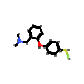 CN(C)Cc1ccccc1Oc1ccc(SF)cc1